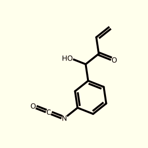 C=CC(=O)C(O)c1cccc(N=C=O)c1